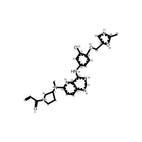 C=CC(=O)N1CCC(N(C)c2ccc3ncnc(Nc4ccc(OCc5cnc(C)o5)c(Cl)c4)c3n2)C1